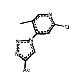 CC(=O)c1cn(-c2cc(Cl)ncc2C)nn1